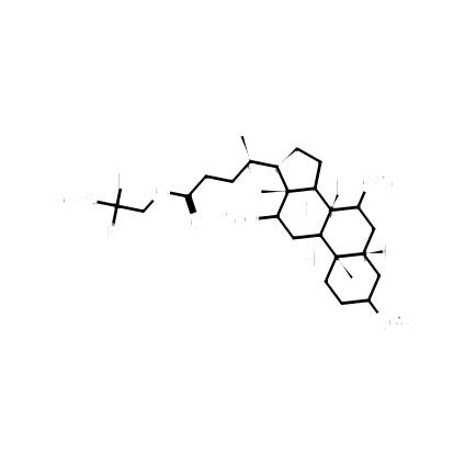 CC(=O)OC1CC[C@@]2(C)[C@@H](C1)CC(OC(C)=O)[C@@H]1[C@@H]2CC(OC(C)=O)[C@]2(C)[C@@H]([C@H](C)CCC(=O)OCC(F)(F)S(=O)(=O)O)CC[C@@H]12